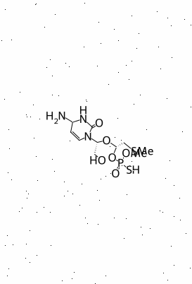 COP(=O)(S)O[C@@H](CSC)O[C@H](CO)N1C=CC(N)NC1=O